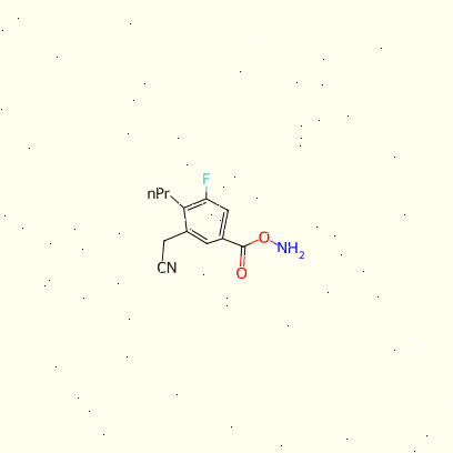 CCCc1c(F)cc(C(=O)ON)cc1CC#N